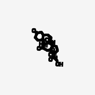 C[C@]12CC(=O)[C@H]3[C@@H](CCC4CC(=O)CC[C@@]43C)[C@@H]1CC[C@@H]2C(=O)CO